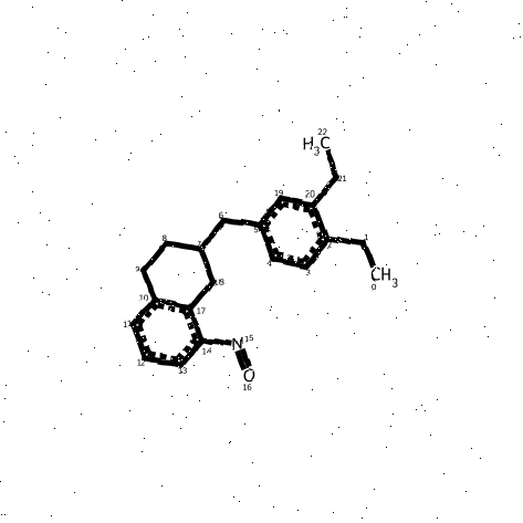 CCc1ccc(CC2CCc3cccc(N=O)c3C2)cc1CC